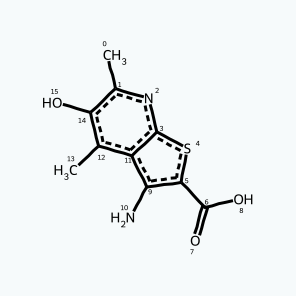 Cc1nc2sc(C(=O)O)c(N)c2c(C)c1O